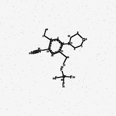 CCc1cc(N2CCOCC2)c(CC)cc1[N+]#N.F[B-](F)(F)F